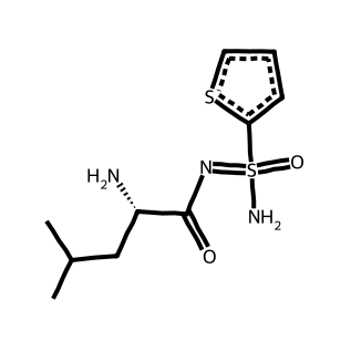 CC(C)C[C@H](N)C(=O)N=S(N)(=O)c1cccs1